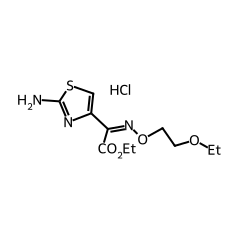 CCOCCON=C(C(=O)OCC)c1csc(N)n1.Cl